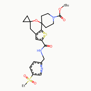 CCS(=O)(=O)c1ccc(CNC(=O)c2cc3c(s2)C2(CCN(C(=O)OC(C)(C)C)CC2)OC2(CC2)C3)nc1